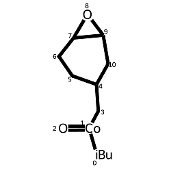 CC[CH](C)[Co](=[O])[CH2]C1CCC2OC2C1